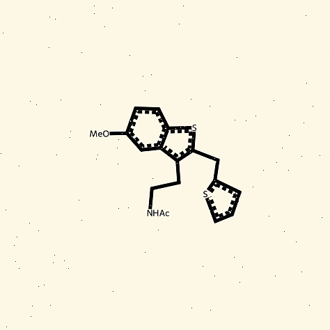 COc1ccc2sc(Cc3cccs3)c(CCNC(C)=O)c2c1